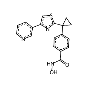 O=C(NO)c1ccc(C2(c3nc(-c4cccnc4)cs3)CC2)cc1